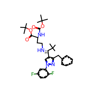 CC(C)(C)OC(=O)NC(CCN[C@@H](c1cn(-c2cc(F)ccc2F)nc1Cc1ccccc1)C(C)(C)C)C(=O)OC(C)(C)C